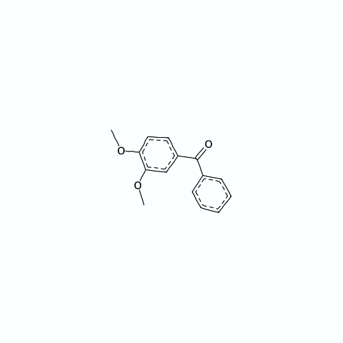 COc1ccc(C(=O)c2ccccc2)cc1OC